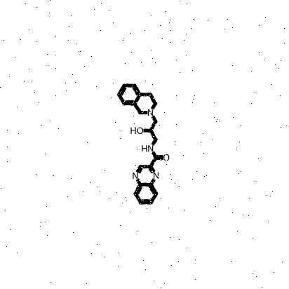 O=C(NCC(O)CN1CCc2ccccc2C1)c1cnc2ccccc2n1